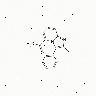 Cc1nc2cccc(C(N)=O)n2c1-c1ccccc1